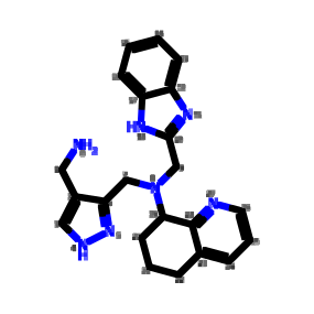 NCc1c[nH]nc1CN(Cc1nc2ccccc2[nH]1)C1CCCc2cccnc21